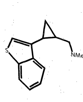 CNCC1CC1c1csc2ccccc12